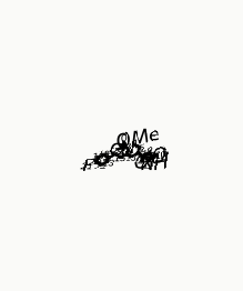 COC(=O)N1CCC(c2cc(=O)[nH]o2)CC1CCc1ccc(F)cc1